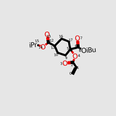 C=CC(=O)OC1(C(=O)OCC(C)C)CCC(C(=O)OC(C)C)CC1